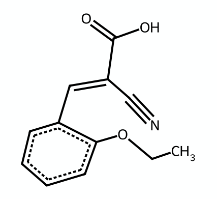 CCOc1ccccc1C=C(C#N)C(=O)O